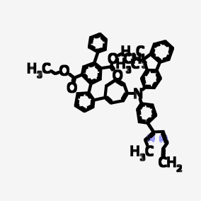 C=C/C=C\C(=C/C)c1ccc(N(C2=CC=C(c3ccccc3-c3cc(C(=O)OCC)c(-c4ccccc4)cc3C(=O)OCC)CC=C2)c2ccc3c(c2)C(C)(C)c2ccccc2-3)cc1